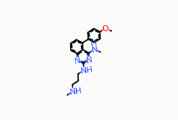 CNCCCNc1nc(NC)c2c(-c3ccc(OC)cc3)cccc2n1